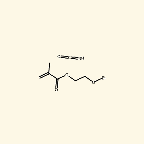 C=C(C)C(=O)OCCOCC.N=C=O